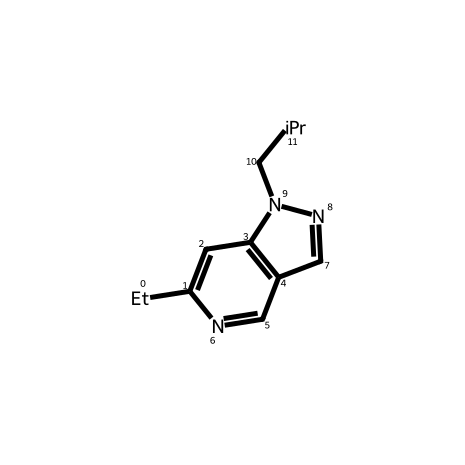 CCc1cc2c(cn1)cnn2CC(C)C